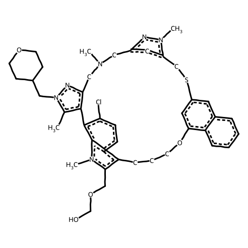 Cc1c2c(nn1CC1CCOCC1)CN(C)Cc1cc(n(C)n1)CSc1cc(c3ccccc3c1)OCCCc1c(COCO)n(C)c3c-2c(Cl)ccc13